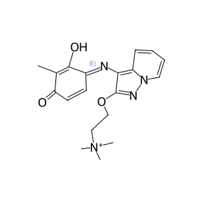 CC1=C(O)/C(=N/c2c(OCC[N+](C)(C)C)nn3ccccc23)C=CC1=O